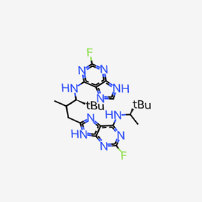 CC(Cc1nc2c(N[C@H](C)C(C)(C)C)nc(F)nc2[nH]1)[C@@H](Nc1nc(F)nc2[nH]cnc12)C(C)(C)C